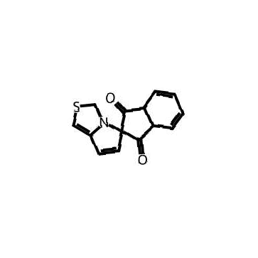 O=C1C2C=CC=CC2C(=O)C12C=CC1=CSCN12